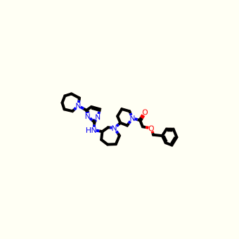 O=C(COCc1ccccc1)N1CCCC(N2CCCCC(Nc3nccc(N4CCCCCC4)n3)C2)C1